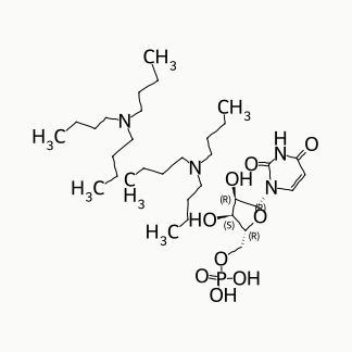 CCCCN(CCCC)CCCC.CCCCN(CCCC)CCCC.O=c1ccn([C@@H]2O[C@H](COP(=O)(O)O)[C@@H](O)[C@H]2O)c(=O)[nH]1